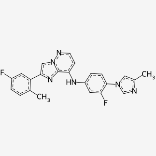 Cc1cn(-c2ccc(Nc3ccnn4cc(-c5cc(F)ccc5C)nc34)cc2F)cn1